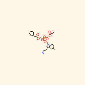 CCC(=O)OCOP(=O)(OCOC(=O)Cc1ccccc1)OCn1cc(CCN(C)C)c2cc(C)ccc21